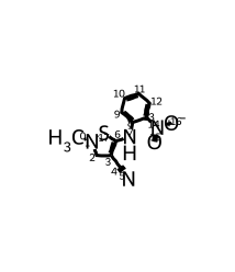 CN1CC(C#N)=C(Nc2ccccc2[N+](=O)[O-])S1